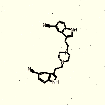 N#Cc1ccc2[nH]cc(CCN3CCN(CCc4c[nH]c5ccc(C#N)cc45)CC3)c2c1